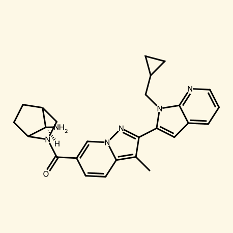 Cc1c(-c2cc3cccnc3n2CC2CC2)nn2cc(C(=O)N3CC4CCC3[C@@H]4N)ccc12